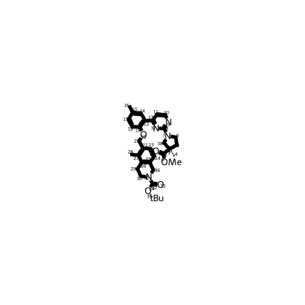 COC(=O)[C@]1(C)CCN(c2nccc(-c3cc(C)ccc3OCc3ccc4c(c3C)CCN(C(=O)OC(C)(C)C)C4)n2)C1